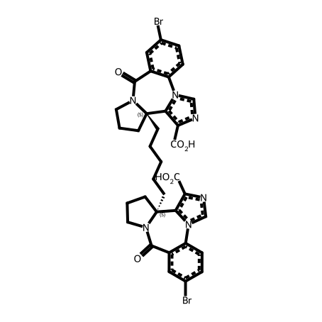 O=C(O)c1ncn2c1[C@]1(CCCCC[C@@]34CCCN3C(=O)c3cc(Br)ccc3-n3cnc(C(=O)O)c34)CCCN1C(=O)c1cc(Br)ccc1-2